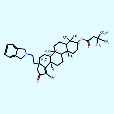 CC(C)C1=C2[C@H]3CCC4[C@@]5(C)CC[C@H](OC(=O)CC(C)(C)C(=O)O)C(C)(C)C5CC[C@@]4(C)[C@]3(C)CC[C@@]2(CCN2Cc3ccccc3C2)CC1=O